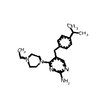 CCN1CCN(c2nc(N)ncc2Cc2ccc(C(C)C)cc2)CC1